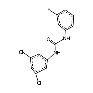 O=C(Nc1cccc(F)c1)Nc1cc(Cl)cc(Cl)c1